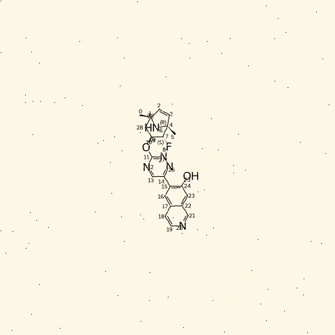 C[C@@]12C=C[C@@](C)(N1)[C@H](F)[C@@H](Oc1ncc(-c3cc4ccncc4cc3O)nn1)C2